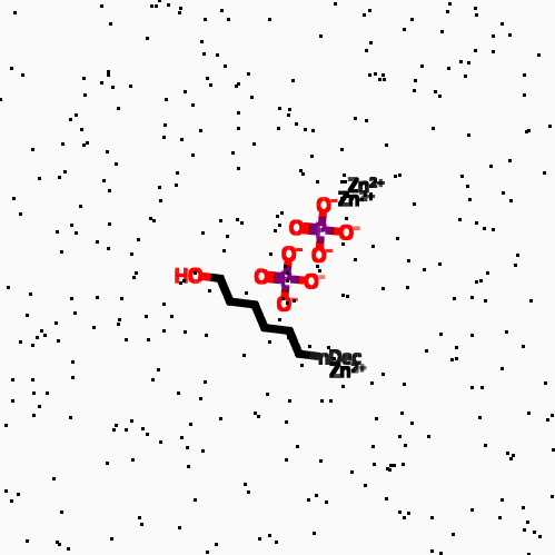 CCCCCCCCCCCCCCCCO.O=P([O-])([O-])[O-].O=P([O-])([O-])[O-].[Zn+2].[Zn+2].[Zn+2]